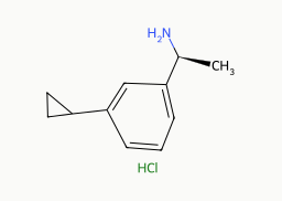 C[C@H](N)c1cccc(C2CC2)c1.Cl